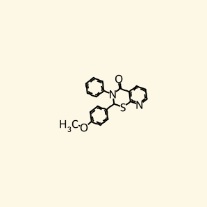 COc1ccc(C2Sc3ncccc3C(=O)N2c2ccccc2)cc1